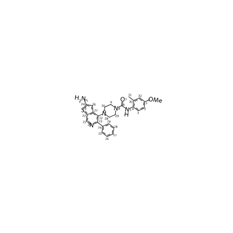 COc1ccc(NC(=O)N2CCN(c3c(-c4ccccc4)ncc4sc(N)cc34)CC2)c(C)c1